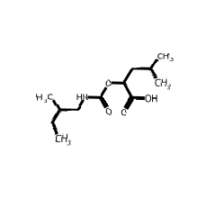 CCC(C)CNC(=O)OC(CC(C)C)C(=O)O